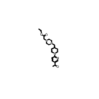 CCOC(=O)CN1CCN(CC2CCN(c3ccc(C(C)=O)cn3)CC2)CC1